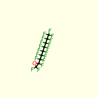 FC(F)(F)C(F)(F)C(F)(F)C(F)(F)C(F)(F)C(F)(F)C(F)(F)C1(F)OC1(F)F